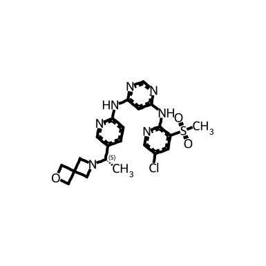 C[C@@H](c1ccc(Nc2cc(Nc3ncc(Cl)cc3S(C)(=O)=O)ncn2)nc1)N1CC2(COC2)C1